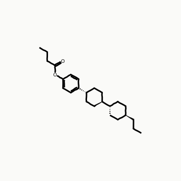 CCCC(=O)Oc1ccc([C@H]2CC[C@H]([C@H]3CC[C@H](CCC)CC3)CC2)cc1